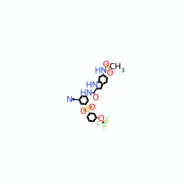 CS(=O)(=O)Nc1ccc2cc(C(=O)Nc3cc(C#N)cc(S(=O)(=O)c4cccc(OC(F)(F)F)c4)c3)[nH]c2c1